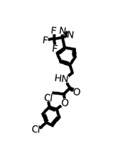 CC(Oc1ccc(Cl)cc1Cl)C(=O)NCc1ccc(C2(C(F)(F)F)N=N2)cc1